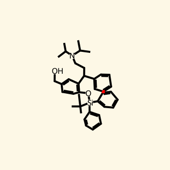 CC(C)N(CCC(c1ccccc1)c1cc(CO)ccc1O[Si](c1ccccc1)(c1ccccc1)C(C)(C)C)C(C)C